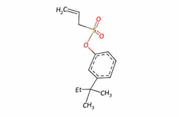 C=CCS(=O)(=O)Oc1cccc(C(C)(C)CC)c1